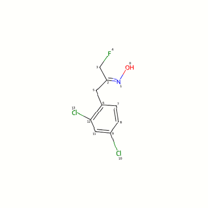 ON=C(CF)Cc1ccc(Cl)cc1Cl